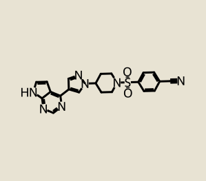 N#Cc1ccc(S(=O)(=O)N2CCC(n3cc(-c4ncnc5[nH]ccc45)cn3)CC2)cc1